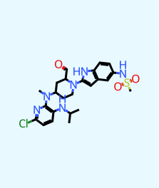 CC(C)Nc1ccc(Cl)nc1N(C)C1CCN(c2cc3cc(NS(C)(=O)=O)ccc3[nH]2)C(C=O)C1